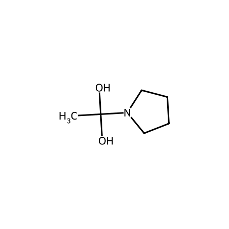 CC(O)(O)N1CCCC1